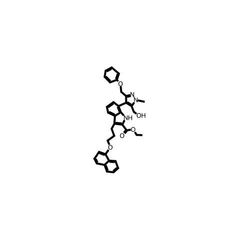 CCOC(=O)c1[nH]c2c(-c3c(COc4ccccc4)nn(C)c3CO)cccc2c1CCCOc1cccc2ccccc12